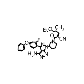 CCOC[C@H](C)/C=C(/C#N)C(=O)N1CCCC(n2nc(-c3ccc(Oc4ccccc4)cc3F)c3c(N)ncnc32)C1